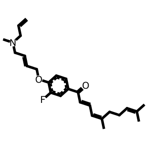 C=CCN(C)CC=CCOc1ccc(C(=O)C=CC=C(C)CCC=C(C)C)cc1F